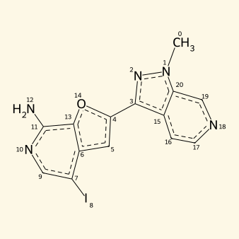 Cn1nc(-c2cc3c(I)cnc(N)c3o2)c2ccncc21